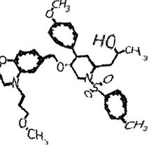 COCCCN1CCOc2ccc(CO[C@H]3CN(S(=O)(=O)c4ccc(C)cc4)C(CC(C)O)CC3c3ccc(OC)cc3)cc21